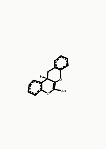 [Au][C]1=C2Oc3ccccc3C[C@H]2c2ccccc2O1